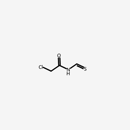 O=C(CCl)NC=S